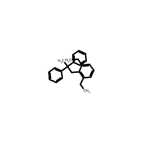 CCc1c[c]cc(CC)c1CC(C)(c1ccccc1)c1ccccc1